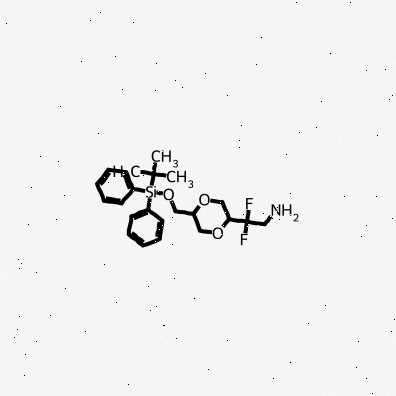 CC(C)(C)[Si](OCC1COC(C(F)(F)CN)CO1)(c1ccccc1)c1ccccc1